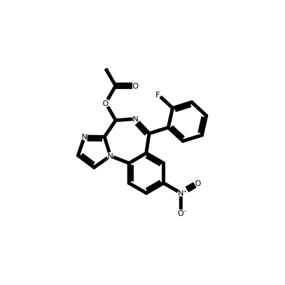 CC(=O)OC1N=C(c2ccccc2F)c2cc([N+](=O)[O-])ccc2-n2ccnc21